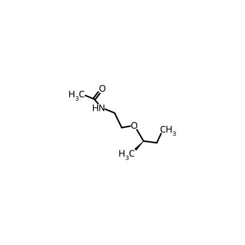 CC[C@@H](C)OCCNC(C)=O